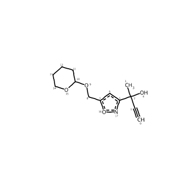 C#CC(C)(O)c1cc(COC2CCCCO2)on1